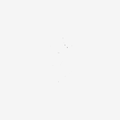 O=[N+]([O-])c1cc(P(=O)=O)ccc1O